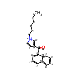 CCCCCCn1ccc(C(=O)c2cccc3ccccc23)c1